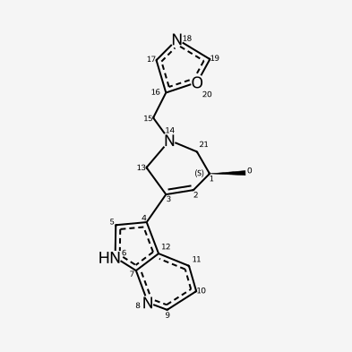 C[C@H]1C=C(c2c[nH]c3ncccc23)CN(Cc2cnco2)C1